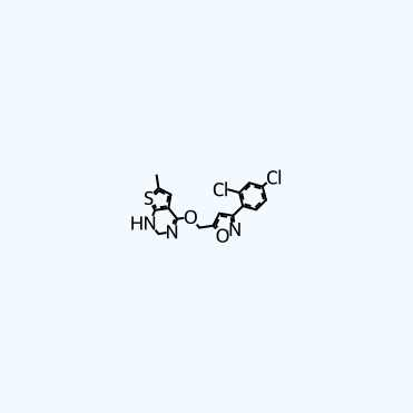 Cc1cc2c(s1)NCN=C2OCc1cc(-c2ccc(Cl)cc2Cl)no1